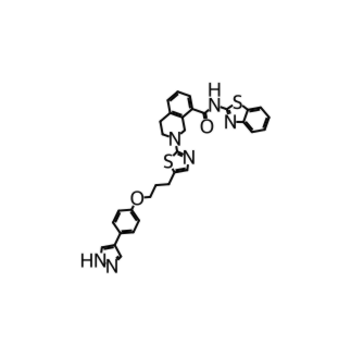 O=C(Nc1nc2ccccc2s1)c1cccc2c1CN(c1ncc(CCCOc3ccc(-c4cn[nH]c4)cc3)s1)CC2